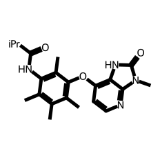 Cc1c(C)c(NC(=O)C(C)C)c(C)c(Oc2ccnc3c2[nH]c(=O)n3C)c1C